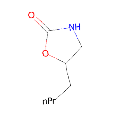 CCCCC1CNC(=O)O1